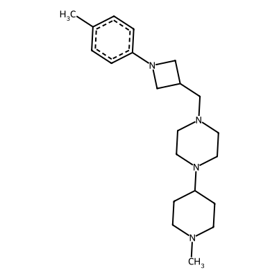 Cc1ccc(N2CC(CN3CCN(C4CCN(C)CC4)CC3)C2)cc1